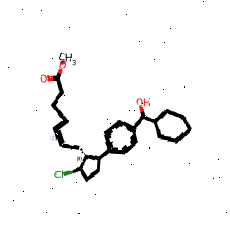 COC(=O)CCC/C=C\C[C@H]1C(Cl)CCC1c1ccc(C(O)C2CCCCC2)cc1